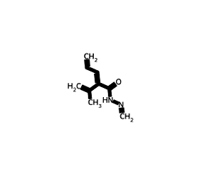 C=C/C=C(\C(=C)C)C(=O)NN=C